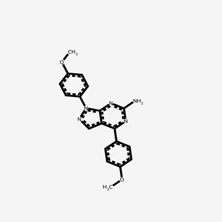 COc1ccc(-c2nc(N)nc3c2cnn3-c2ccc(OC)cc2)cc1